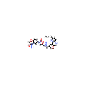 COc1ccc2ncc3c(c2n1)C[C@H](CNC[C@H]1CN(c2ccc4c(c2)NC(=O)CO4)C(=O)O1)CO3